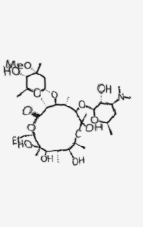 CC[C@H]1OC(=O)[C@H](C)[C@@H](O[C@H]2C[C@@](C)(OC)[C@@H](O)[C@H](C)O2)[C@H](C)[C@@H](O[C@@H]2O[C@H](C)C[C@H](N(C)C)[C@H]2O)C(C)(O)C[C@@H](C)[C@@H](O)[C@H](C)[C@@H](O)[C@]1(C)O